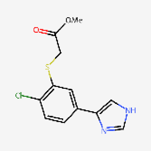 COC(=O)CSc1cc(-c2c[nH]cn2)ccc1Cl